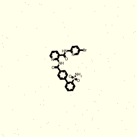 NS(=O)(=O)c1ccccc1-c1ccc(C(=O)Nc2ncccc2C(=O)Nc2ccc(Br)cn2)cc1